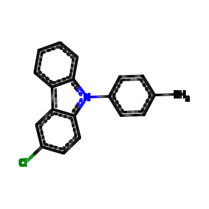 Bc1ccc(-n2c3ccccc3c3cc(Cl)ccc32)cc1